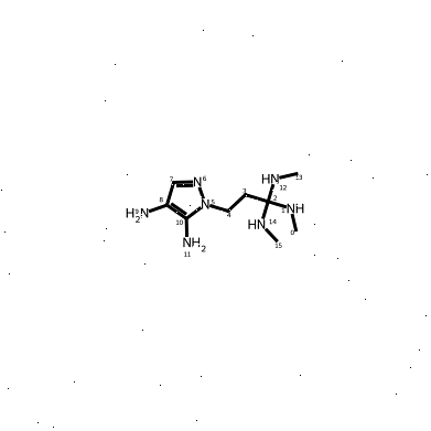 CNC(CCn1ncc(N)c1N)(NC)NC